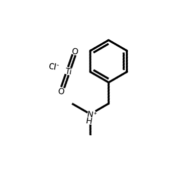 C[NH+](C)Cc1ccccc1.[Cl-].[O]=[Ti]=[O]